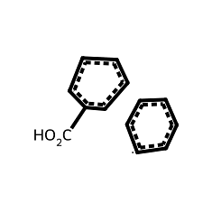 O=C(O)c1ccccc1.[c]1ccccc1